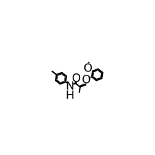 COc1ccccc1OC=C(C)C(=O)Nc1ccc(C)cc1